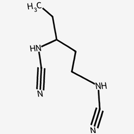 CCC(CCNC#N)NC#N